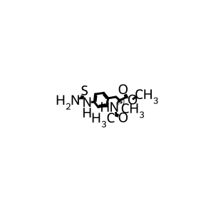 COC(=O)[C@](C)(Cc1ccc(NC(N)=S)cc1)NC(C)=O